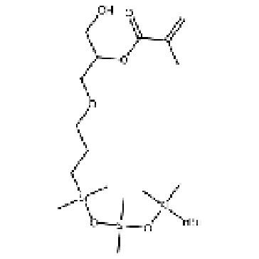 C=C(C)C(=O)OC(CO)COCCC[Si](C)(C)O[Si](C)(C)O[Si](C)(C)CCCC